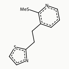 CSc1ncccc1CCc1nccs1